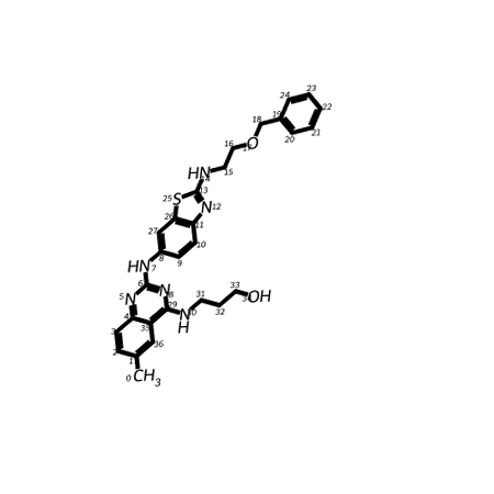 Cc1ccc2nc(Nc3ccc4nc(NCCOCc5ccccc5)sc4c3)nc(NCCCO)c2c1